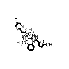 COc1ccccc1-n1c(NS(=O)(=O)[C@H](C)Cc2ncc(F)cn2)nnc1-c1ccc(C)o1